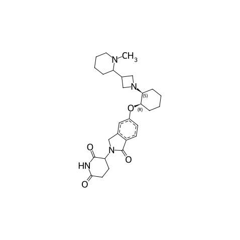 CN1CCCCC1C1CN([C@H]2CCCC[C@H]2Oc2ccc3c(c2)CN(C2CCC(=O)NC2=O)C3=O)C1